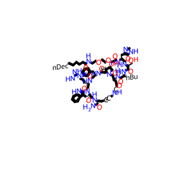 CCCCCCCCCCCCCCCC(=O)NCCOCCOCC(=O)N[C@@H](Cc1c[nH]cn1)C(=O)N[C@@H](CO)C(=O)N[C@@H](CCCC)C(=O)N[C@H]1CC(=O)CNCCCC[C@@H](C(N)=O)NC(=O)[C@H](Cc2c[nH]c3ccccc23)NC(=O)[C@H](CCCNC(=N)N)NC(=O)[C@@H](Cc2ccccc2)NC(=O)[C@@H]2C[C@@H](O)CN2C1=O